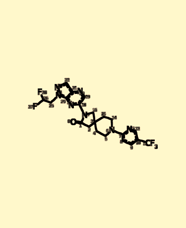 O=C1CC2(CCN(c3ccc(C(F)(F)F)cn3)CC2)CN1c1cnc2cnn(CC(F)F)c2n1